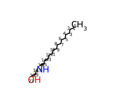 CCCCCCCCCCCCCCCC=CNCCCO